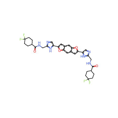 O=C(NCc1ncc(-c2cc3cc4oc(-c5cnc(CNC(=O)C6CCC(F)(F)CC6)[nH]5)cc4cc3o2)[nH]1)C1CCC(F)(F)CC1